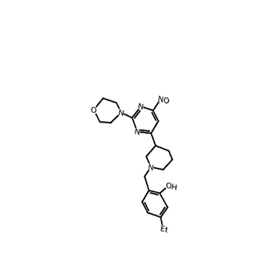 CCc1ccc(CN2CCCC(c3cc(N=O)nc(N4CCOCC4)n3)C2)c(O)c1